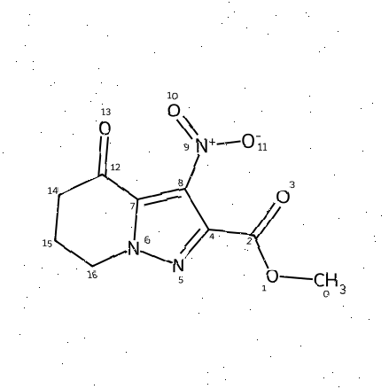 COC(=O)c1nn2c(c1[N+](=O)[O-])C(=O)CCC2